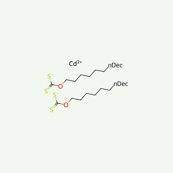 CCCCCCCCCCCCCCCCOC(=S)[S-].CCCCCCCCCCCCCCCCOC(=S)[S-].[Cd+2]